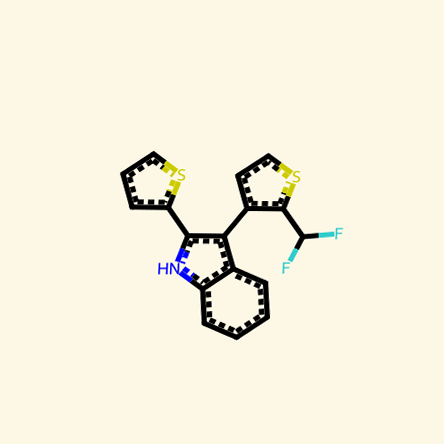 FC(F)c1sccc1-c1c(-c2cccs2)[nH]c2ccccc12